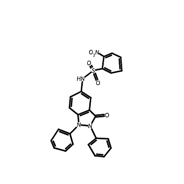 O=c1c2cc(NS(=O)(=O)c3ccccc3[N+](=O)[O-])ccc2n(-c2ccccc2)n1-c1ccccc1